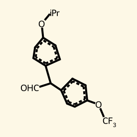 CC(C)Oc1ccc(C(C=O)c2ccc(OC(F)(F)F)cc2)cc1